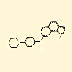 CC(C)n1ncc2ccc3cnc(Nc4ccc(N5CCNCC5)cn4)nc3c21.Cl